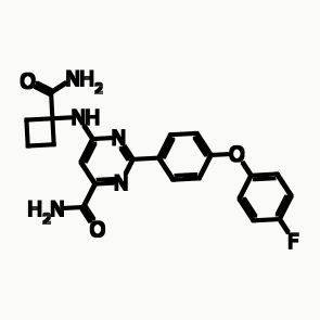 NC(=O)c1cc(NC2(C(N)=O)CCC2)nc(-c2ccc(Oc3ccc(F)cc3)cc2)n1